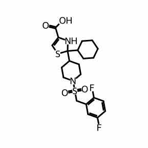 O=C(O)C1=CSC(C2CCCCC2)(C2CCN(S(=O)(=O)Cc3cc(F)ccc3F)CC2)N1